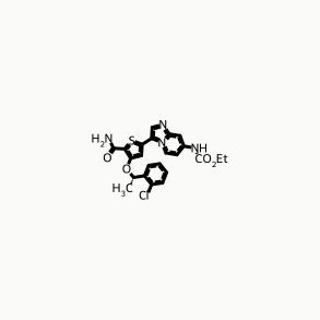 CCOC(=O)Nc1ccn2c(-c3cc(O[C@@H](C)c4ccccc4Cl)c(C(N)=O)s3)cnc2c1